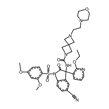 CCOc1ncccc1C1(NC(=O)N2CC3(CN(CCN4CCOCC4)C3)C2)C(=O)N(S(=O)(=O)c2ccc(OC)cc2OC)c2ccc(C#N)cc21